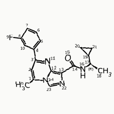 Cc1cc(-c2cccc(F)c2)nc2c(C(=O)N[C@H](C)C3CC3)ncn12